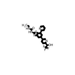 CCNC(=O)Nc1nc2cc(-c3ccc(C(O)C(F)(F)F)nc3)cc(-c3ccccn3)c2s1